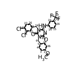 COc1ccc(Cn2c(=O)nc(Nc3cccc(C(F)(F)F)c3)n(Cc3ccc(Cl)c(Cl)c3)c2=O)cc1